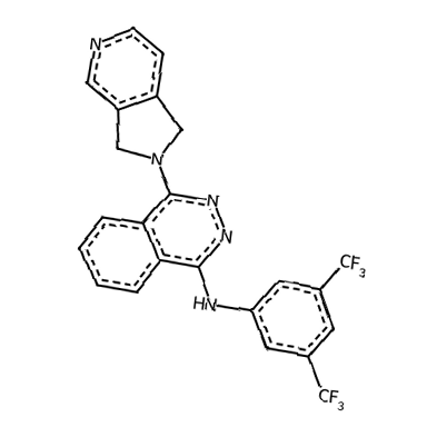 FC(F)(F)c1cc(Nc2nnc(N3Cc4ccncc4C3)c3ccccc23)cc(C(F)(F)F)c1